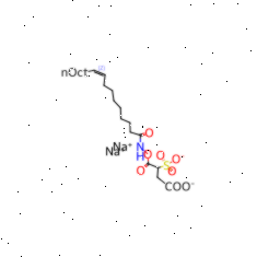 CCCCCCCC/C=C\CCCCCCCC(=O)NOC(=O)C(CC(=O)[O-])S(=O)(=O)[O-].[Na+].[Na+]